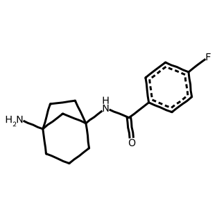 NC12CCCC(NC(=O)c3ccc(F)cc3)(CC1)C2